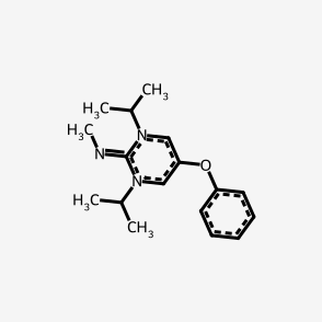 CN=c1n(C(C)C)cc(Oc2ccccc2)c[n+]1C(C)C